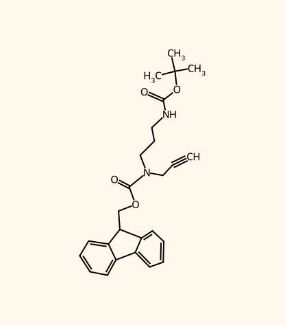 C#CCN(CCCNC(=O)OC(C)(C)C)C(=O)OCC1c2ccccc2-c2ccccc21